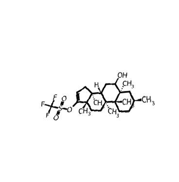 C[C@H]1CC[C@]2(C)[C@@]3(C)CC[C@]4(C)C(OS(=O)(=O)C(F)(F)F)=CC[C@@]4(C)[C@@H]3CC(O)[C@@]2(C)C1